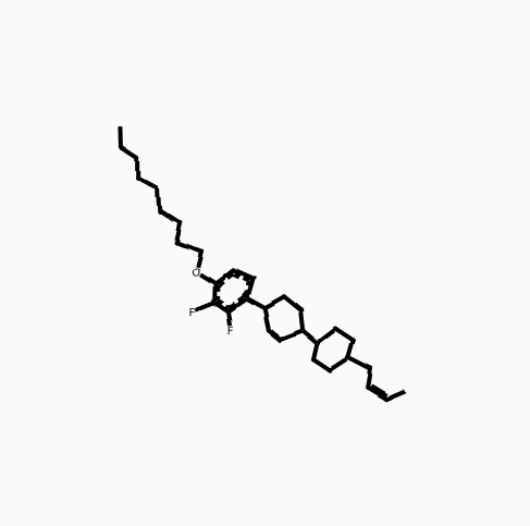 C/C=C\CC1CCC(C2CCC(c3ccc(OCCCCCCCCC)c(F)c3F)CC2)CC1